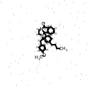 CCCCc1ccc(C23c4ccccc4C(=O)N2CCN3C(=O)Cc2ccc(OC)cc2)cc1